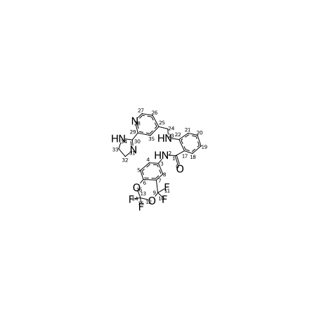 O=C(Nc1ccc2c(c1)C(F)(F)OC(F)(F)O2)c1ccccc1NCc1ccnc(C2=NCCN2)c1